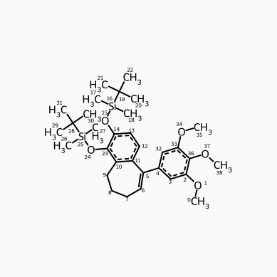 COc1cc(C2=CCCCc3c2ccc(O[Si](C)(C)C(C)(C)C)c3O[Si](C)(C)C(C)(C)C)cc(OC)c1OC